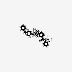 Nc1ccccc1NC(=O)c1cccc(S(=O)(=O)NCC2CCN(Cc3ccccc3)CC2)c1